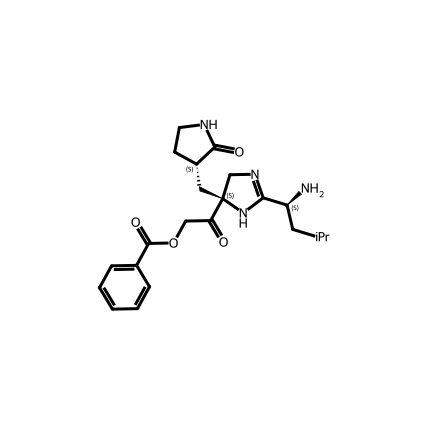 CC(C)C[C@H](N)C1=NC[C@@](C[C@@H]2CCNC2=O)(C(=O)COC(=O)c2ccccc2)N1